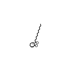 CCCCCCCCCCCC(=O)N1CCCC=CC1=O